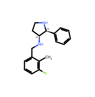 Cc1c(F)cccc1CN[C@H]1CCN[C@H]1c1ccccc1